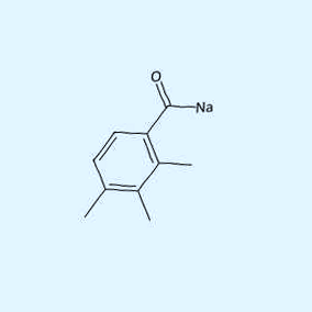 Cc1ccc([C](=O)[Na])c(C)c1C